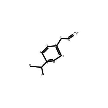 CC(C)c1ccc(CC=O)cc1